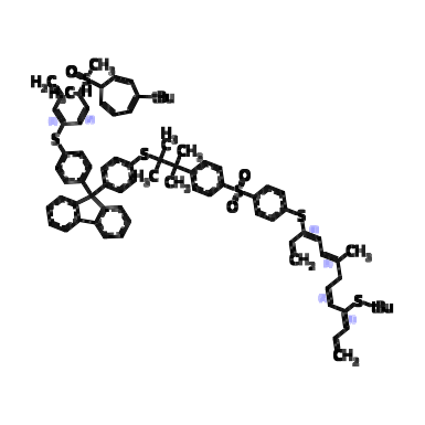 C=C/C=C(\C=C/C(C)[SH](C)(=O)C1C=CC=C(C(C)(C)C)C=C1)Sc1ccc(C2(c3ccc(SC(C)(C)C(C)(C)c4ccc(S(=O)(=O)c5ccc(S/C(C=C)=C/C=C(\C)C/C=C\C(=C/C=C)SC(C)(C)C)cc5)cc4)cc3)c3ccccc3-c3ccccc32)cc1